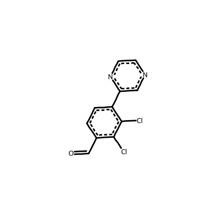 O=Cc1ccc(-c2cnccn2)c(Cl)c1Cl